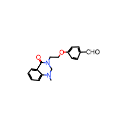 CN1CN(CCOc2ccc(C=O)cc2)C(=O)c2ccccc21